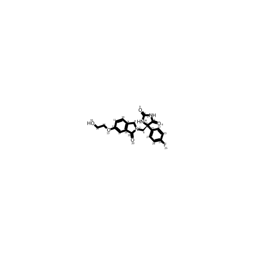 O=C1NC(=O)[C@](CN2Cc3ccc(OCCO)cc3C2=O)(c2ccc(F)cc2)N1